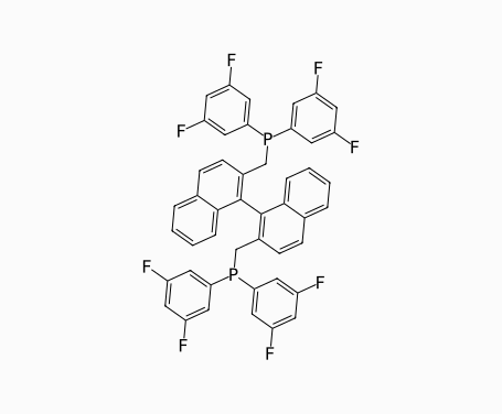 Fc1cc(F)cc(P(Cc2ccc3ccccc3c2-c2c(CP(c3cc(F)cc(F)c3)c3cc(F)cc(F)c3)ccc3ccccc23)c2cc(F)cc(F)c2)c1